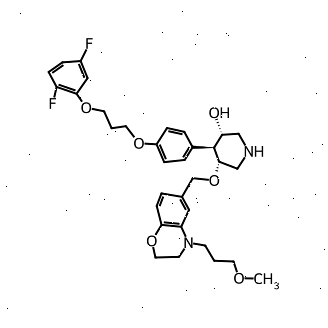 COCCCN1CCOc2ccc(CO[C@H]3CNC[C@@H](O)[C@@H]3c3ccc(OCCCOc4cc(F)ccc4F)cc3)cc21